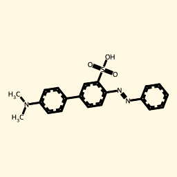 CN(C)c1ccc(-c2ccc(N=Nc3ccccc3)c(S(=O)(=O)O)c2)cc1